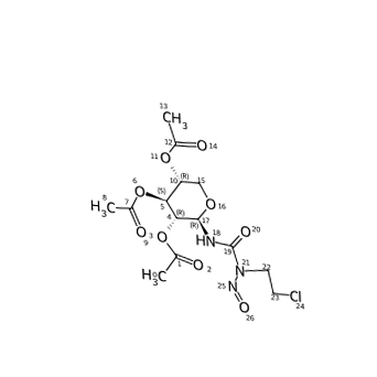 CC(=O)O[C@@H]1[C@@H](OC(C)=O)[C@H](OC(C)=O)CO[C@H]1NC(=O)N(CCCl)N=O